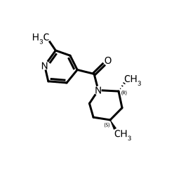 Cc1cc(C(=O)N2CC[C@H](C)C[C@H]2C)ccn1